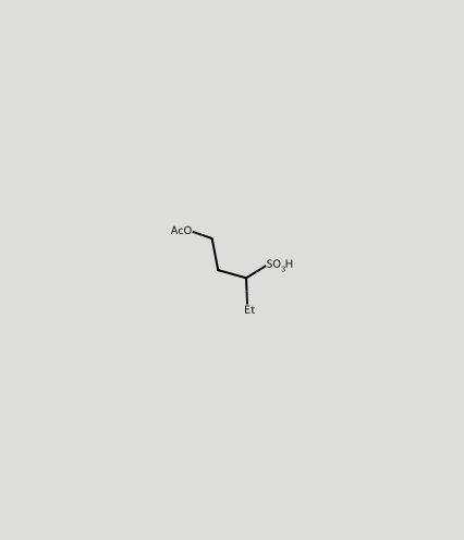 CCC(CCOC(C)=O)S(=O)(=O)O